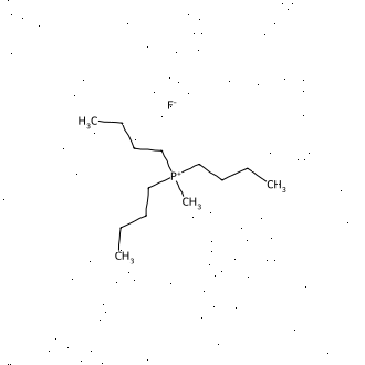 CCCC[P+](C)(CCCC)CCCC.[F-]